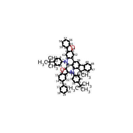 CC(C)(C)c1ccc(N2B3c4oc5ccc(-c6ccccc6)cc5c4N(c4ccc(C(C)(C)C)cc4)c4c3c(cc3c4C(C)(C)c4ccccc4-3)-c3cc4oc5ccccc5c4cc32)cc1